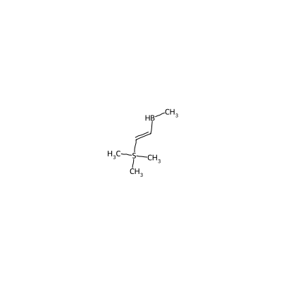 CB/C=C/S(C)(C)C